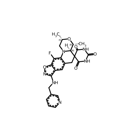 C[C@H]1CN2c3c(cc4c(NCc5cccnc5)noc4c3F)CC3(C(=O)NC(=O)NC3=O)[C@@H]2[C@@H](C)O1